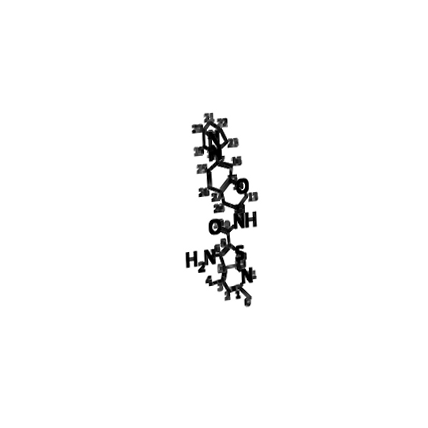 Cc1cc(C)c2c(N)c(C(=O)N[C@H]3COc4cc(N5CC6CC(C5)N6)ccc4C3)sc2n1